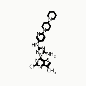 Cc1csc2c(-n3nc(Nc4ccc(N5CCC(N6CCCCC6)CC5)nc4)nc3N)nc(Cl)nc12